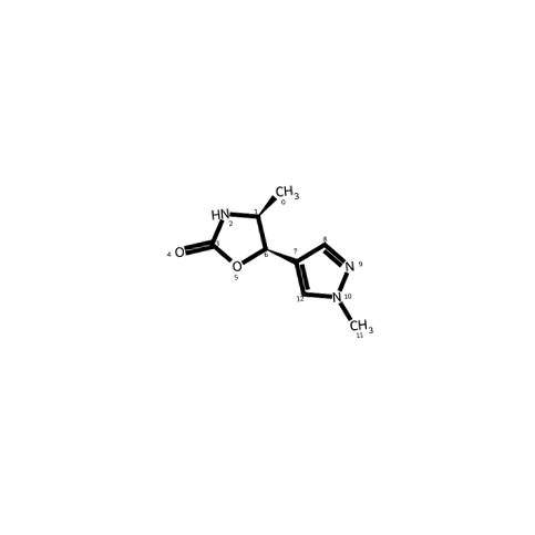 C[C@@H]1NC(=O)O[C@@H]1c1cnn(C)c1